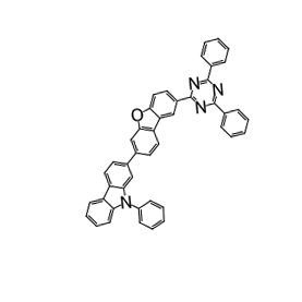 c1ccc(-c2nc(-c3ccccc3)nc(-c3ccc4oc5cc(-c6ccc7c8ccccc8n(-c8ccccc8)c7c6)ccc5c4c3)n2)cc1